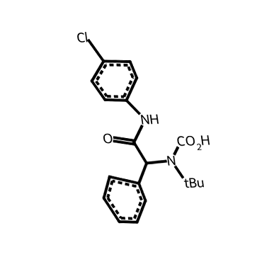 CC(C)(C)N(C(=O)O)C(C(=O)Nc1ccc(Cl)cc1)c1ccccc1